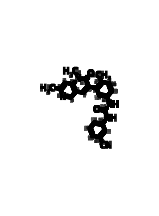 Cc1cc2c(cn1)cc(-c1cc(NC(=O)Nc3cccc(C#N)c3)ccc1C)c(=O)n2C